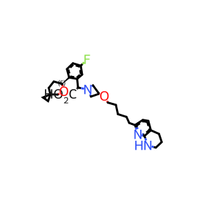 O=C(O)C(c1cc(F)ccc1[C@@H]1CCC2(CC2)CO1)N1CC(OCCCCCc2ccc3c(n2)NCCC3)C1